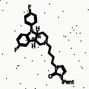 CCCC(C)n1ccn(CCCCN2CC[C@@H]3[C@@H](C2)c2cc(F)ccc2N3c2ccc(F)cc2)c1=O